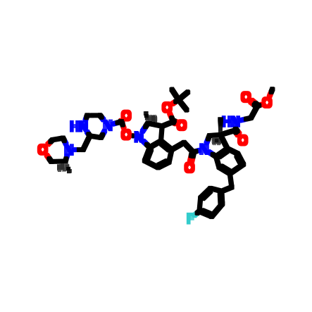 COC(=O)CNC(=O)[C@@]1(C)CN(C(=O)Cc2cccc3c2C(C(=O)OC(C)(C)C)[C@@H](C)N3OC(=O)N2CCNC(CN3CCOC[C@H]3C)C2)c2cc(Cc3ccc(F)cc3)ccc21